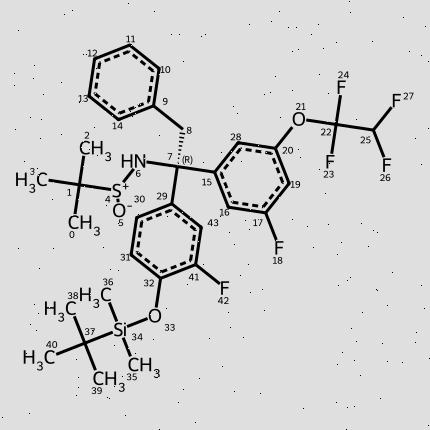 CC(C)(C)[S+]([O-])N[C@@](Cc1ccccc1)(c1cc(F)cc(OC(F)(F)C(F)F)c1)c1ccc(O[Si](C)(C)C(C)(C)C)c(F)c1